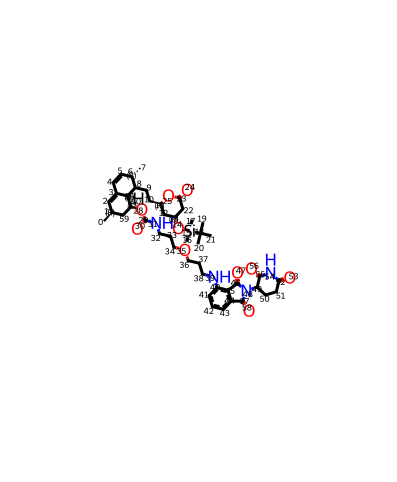 C[C@H]1C=C2C=C[C@H](C)C(CC[C@@H]3C[C@@H](O[Si](C)(C)C(C)(C)C)CC(=O)O3)[C@H]2[C@@H](OC(=O)NCCCOCCCNc2cccc3c2C(=O)N(C2CCC(=O)NC2=O)C3=O)C1